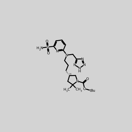 CC(C)(C)OC(=O)N1C[C@@H](CCCN(Cc2nn[nH]n2)c2cccc(S(N)(=O)=O)n2)CC1(C)C